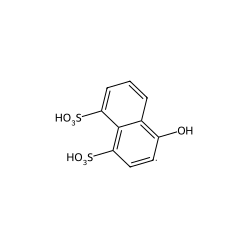 O=S(=O)(O)c1c[c]c(O)c2cccc(S(=O)(=O)O)c12